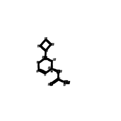 CC(C)(C)C(=O)O[C@H]1C=CCN(C2CCC2)C1